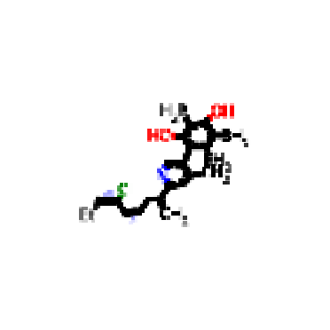 Bc1c(B)c(-c2cnc(C(=C)C/C=C\C(Cl)=C/CC)cc2C)c(O)c(B)c1O